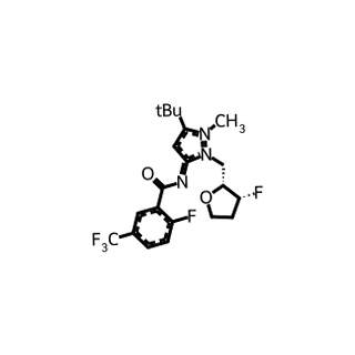 Cn1c(C(C)(C)C)c/c(=N\C(=O)c2cc(C(F)(F)F)ccc2F)n1C[C@H]1OCC[C@H]1F